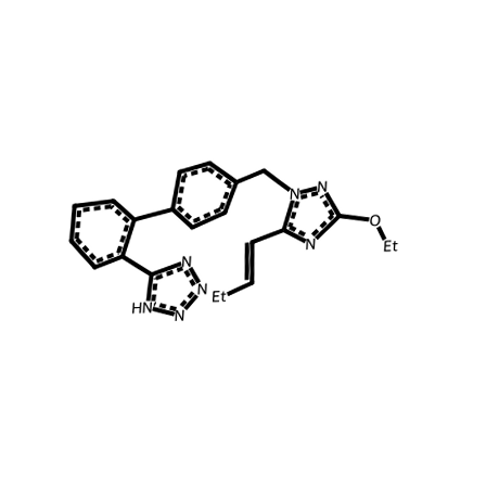 CCC=Cc1nc(OCC)nn1Cc1ccc(-c2ccccc2-c2nnn[nH]2)cc1